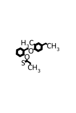 CCC(=S)Oc1ccccc1COc1ccc(CC)cc1C